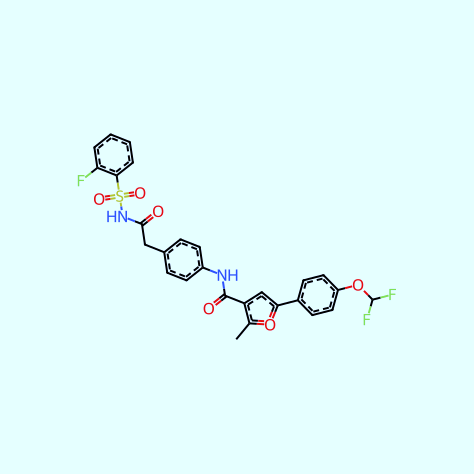 Cc1oc(-c2ccc(OC(F)F)cc2)cc1C(=O)Nc1ccc(CC(=O)NS(=O)(=O)c2ccccc2F)cc1